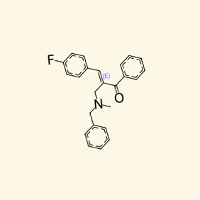 CN(C/C(=C\c1ccc(F)cc1)C(=O)c1ccccc1)Cc1ccccc1